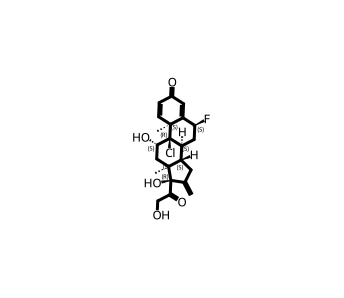 C=C1C[C@H]2[C@@H]3C[C@H](F)C4=CC(=O)C=C[C@]4(C)[C@@]3(Cl)[C@@H](O)C[C@]2(C)[C@@]1(O)C(=O)CO